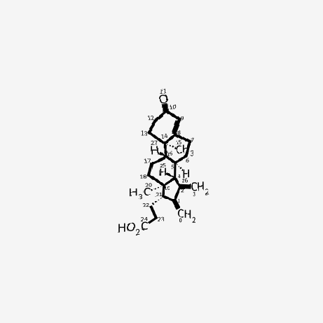 C=C1C(=C)[C@H]2[C@@H]3CCC4=CC(=O)CC[C@]4(C)[C@H]3CC[C@]2(C)[C@H]1CCC(=O)O